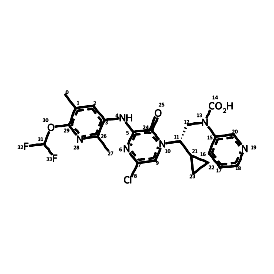 Cc1cc(Nc2nc(Cl)cn([C@H](CN(C(=O)O)c3cccnc3)C3CC3)c2=O)c(C)nc1OC(F)F